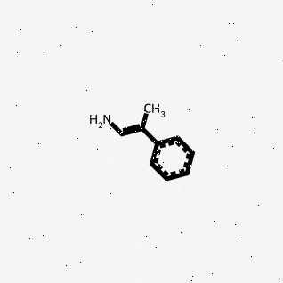 CC(=CN)c1ccccc1